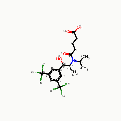 CC(C)N(C(=O)CCCC(=O)O)[C@@H](C)[C@H](O)c1cc(C(F)(F)F)cc(C(F)(F)F)c1